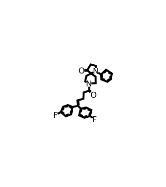 O=C(CCC=C(c1ccc(F)cc1)c1ccc(F)cc1)N1CCC2(CC1)C(=O)CCN2c1ccccc1